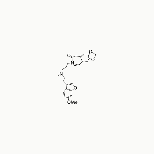 COc1ccc2c(CCN(C)CCCN3C=Cc4cc5c(cc4CC3=O)OCO5)coc2c1